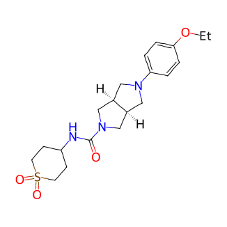 CCOc1ccc(N2C[C@H]3CN(C(=O)NC4CCS(=O)(=O)CC4)C[C@H]3C2)cc1